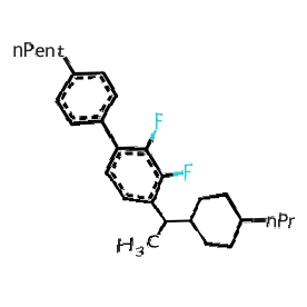 CCCCCc1ccc(-c2ccc(C(C)C3CCC(CCC)CC3)c(F)c2F)cc1